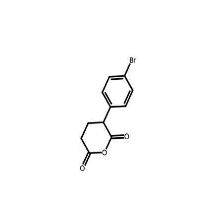 O=C1CCC(c2ccc(Br)cc2)C(=O)O1